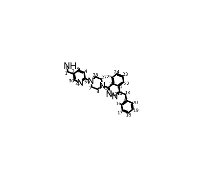 NCc1ccc(N2CCN(c3nnc(Cc4ccccc4)c4ccccc34)CC2)nc1